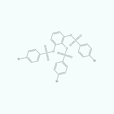 O=S(=O)(Oc1cccc(OS(=O)(=O)c2ccc(Br)cc2)c1OS(=O)(=O)c1ccc(Br)cc1)c1ccc(Br)cc1